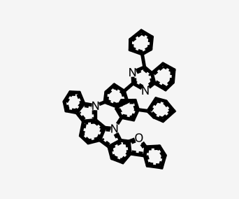 c1ccc(-c2cccc(-n3c4c(ccc5c6ccccc6oc54)c4ccc5c6ccccc6n(-c6ccc(-c7nc(-c8ccccc8)c8ccccc8n7)cc6)c5c43)c2)cc1